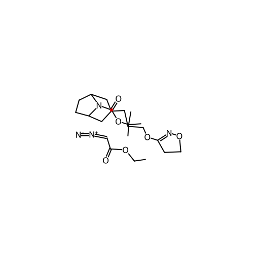 CC(C)(C)OC(=O)N1C2CCC1CC(CCCOC1=NOCC1)C2.CCOC(=O)C=[N+]=[N-]